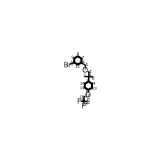 CC(C)(COCc1cccc(Br)c1)c1ccc(OCC(F)(F)F)cc1